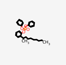 CCCCCCCCC(C)c1ccccc1OP(=O)(Oc1ccccc1)Oc1ccccc1